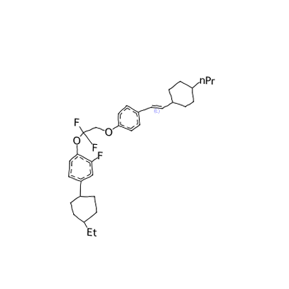 CCCC1CCC(/C=C/c2ccc(OCC(F)(F)Oc3ccc(C4CCC(CC)CC4)cc3F)cc2)CC1